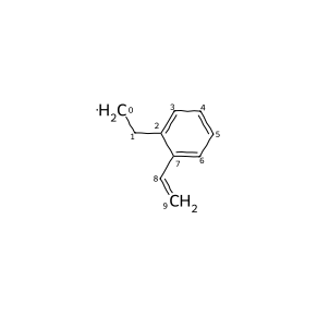 [CH2]Cc1ccccc1C=C